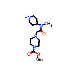 CN(C(=O)CN1CCN(C(=O)OC(C)(C)C)CC1)C1CCNCC1